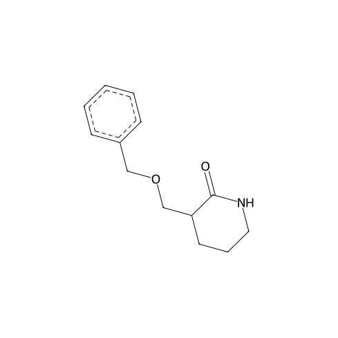 O=C1NCCCC1COCc1ccccc1